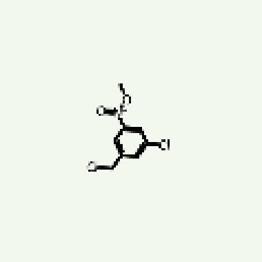 CO[N+](=O)c1cc(Cl)cc(CCl)c1